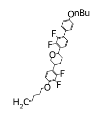 C=CCCCOc1ccc(C2CCC(c3ccc(-c4ccc(OCCCC)cc4)c(F)c3F)OC2)c(F)c1F